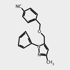 Cc1cc(COCc2ccc(C#N)cc2)n(-c2ccccc2)n1